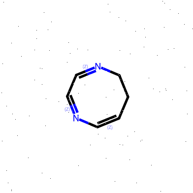 C1=C/N=C\C=N/CC\1